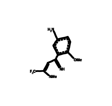 CN/C(=C\C(=N)c1cc(N)ccc1OC)C(F)(F)F